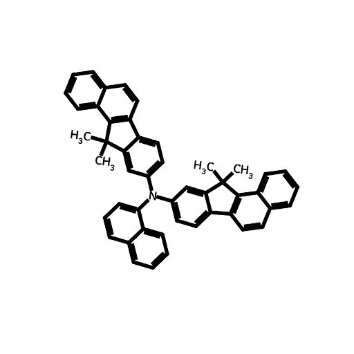 CC1(C)c2cc(N(c3ccc4c(c3)C(C)(C)c3c-4ccc4ccccc34)c3cccc4ccccc34)ccc2-c2ccc3ccccc3c21